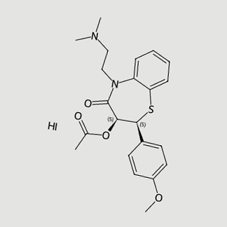 COc1ccc([C@@H]2Sc3ccccc3N(CCN(C)C)C(=O)[C@@H]2OC(C)=O)cc1.I